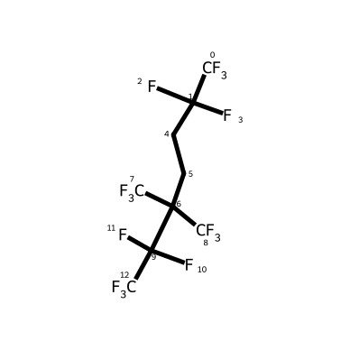 FC(F)(F)C(F)(F)CCC(C(F)(F)F)(C(F)(F)F)C(F)(F)C(F)(F)F